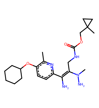 Cc1nc(/C(N)=C(\CNC(=O)OCC2(C)CC2)N(C)N)ccc1OC1CCCCC1